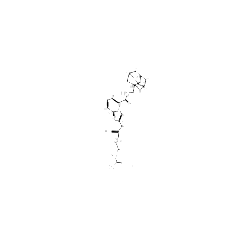 CC(C)OCCNC(=O)Cc1cn2c(C(=O)NCC34CC5CC(CC(C5)C3)C4)cccc2n1